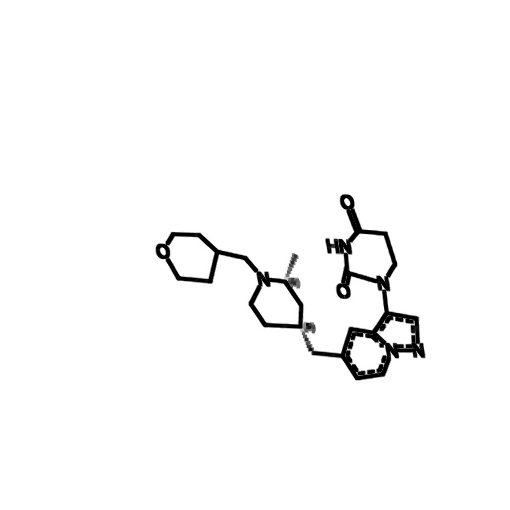 C[C@@H]1C[C@H](Cc2ccn3ncc(N4CCC(=O)NC4=O)c3c2)CCN1CC1CCOCC1